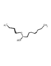 CCCCCCP(O)OCCCC